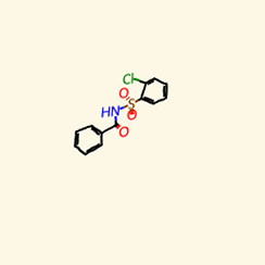 O=C(NS(=O)(=O)c1ccccc1Cl)c1ccccc1